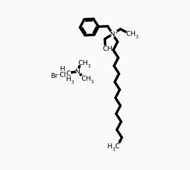 CCCCCCCCCCCCCC[N+](CC)(CC)Cc1ccccc1.CN(C)C.Cl.[Br-]